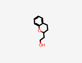 OCCC1CCc2ccccc2O1